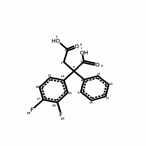 O=C(O)CC(C(=O)O)(c1ccccc1)c1ccc(F)c(F)c1